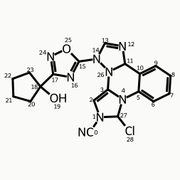 N#CN1C=C2N(c3ccccc3C3N=CN(c4nc(C5(O)CCCC5)no4)N23)C1Cl